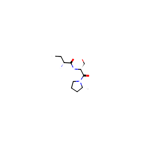 CC(C)C[C@H](N)C(=O)N[C@@H](CO)C(=O)N1CCC[C@H]1C(=O)O